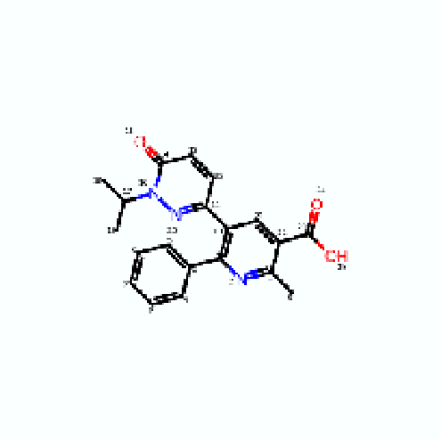 Cc1nc(-c2ccccc2)c(-c2ccc(=O)n(C(C)C)n2)cc1C(=O)O